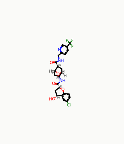 O=C(NCc1ccc(C(F)(F)F)cn1)[C@H]1C[C@H]2O[C@@H]1C[C@@H]2NC(=O)[C@H]1C[C@@H](O)c2cc(Cl)ccc2O1